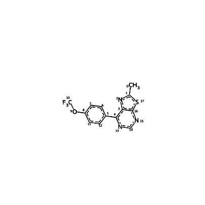 Cc1nc2c(-c3ccc(OC(F)(F)F)cc3)n[c]nc2s1